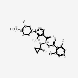 C[C@@H]1C[C@@H](n2ncc(C(=O)N(CC(=O)c3c(Cl)cncc3Cl)CC3(F)CC3)c2C(F)(F)F)CC[C@@H]1C(=O)O